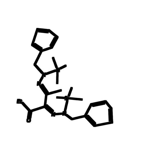 CCC(=O)C(=NN(Cc1ccccc1)[Si](C)(C)C)C(C)=NN(Cc1ccccc1)[Si](C)(C)C